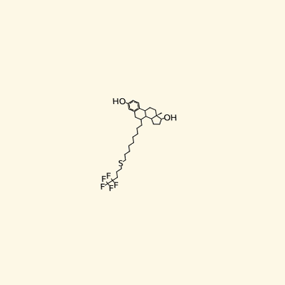 C[C@]12CCC3c4ccc(O)cc4CC(CCCCCCCCCSCCCC(F)(F)C(F)(F)F)C3C1CC[C@@H]2O